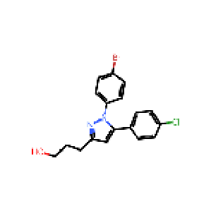 OCCCc1cc(-c2ccc(Cl)cc2)n(-c2ccc(Br)cc2)n1